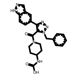 O=C(O)NC1CCN(C(=O)c2c(-c3ccc4[nH]ncc4c3)nnn2Cc2ccccc2)CC1